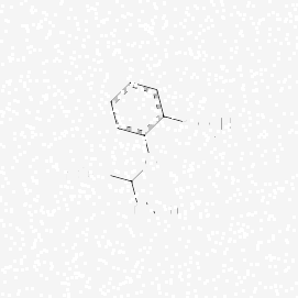 CCCCCCCCCC(CCCCCCCC)Oc1ccccc1C(=O)O